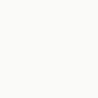 CC1(C)SCC(c2sc(C(=O)NCc3ccc(C(F)(F)F)cn3)cc2Cl)NC1=N